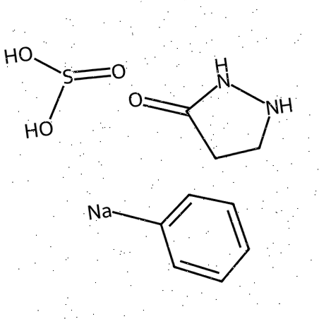 O=C1CCNN1.O=S(O)O.[Na][c]1ccccc1